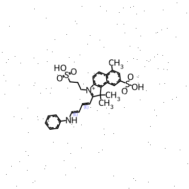 Cc1cc(S(=O)(=O)O)cc2c3c(ccc12)[N+](CCCS(=O)(=O)O)=C(/C=C/C=C/Nc1ccccc1)C3(C)C